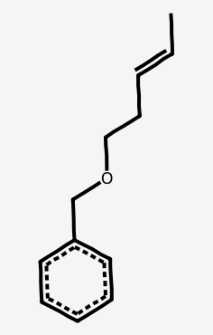 C/C=C/CCOCc1ccccc1